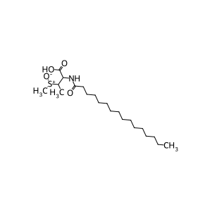 CCCCCCCCCCCCCCCC(=O)NC(C(=O)O)C(C)[S+](C)[O-]